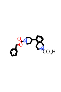 O=C(O)N1CCc2c(cccc2C2CCN(C(=O)OCc3ccccc3)CC2)C1